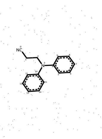 N#CCCN(c1ccccc1)c1ccccc1